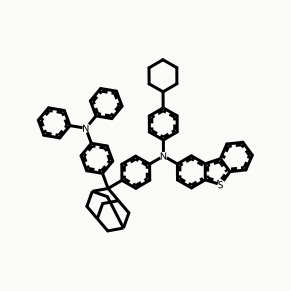 c1ccc(N(c2ccccc2)c2ccc(C3(c4ccc(N(c5ccc(C6CCCCC6)cc5)c5ccc6sc7ccccc7c6c5)cc4)C4CC5CC(C4)CC3C5)cc2)cc1